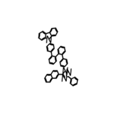 c1ccc(-c2nc(-c3ccc4ccccc4c3)n(-c3ccc(-c4ccccc4-c4ccccc4-c4ccc(-n5c6ccccc6c6ccccc65)cc4)cc3)n2)cc1